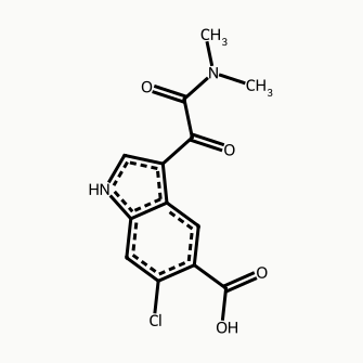 CN(C)C(=O)C(=O)c1c[nH]c2cc(Cl)c(C(=O)O)cc12